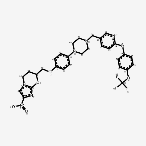 O=[N+]([O-])c1cn2c(n1)OC(COc1ccc(N3CCN(Cc4ccc(Oc5ccc(OC(F)(F)F)cc5)nc4)CC3)cc1)CC2